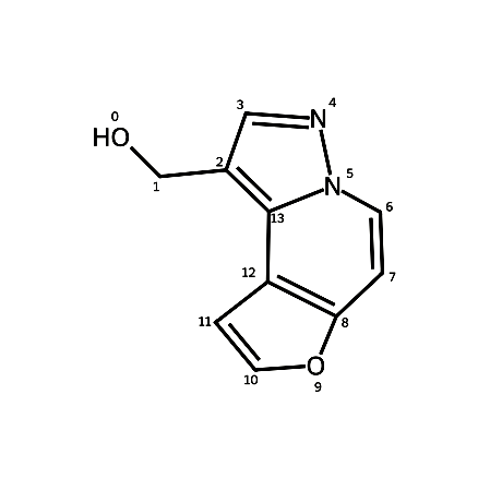 OCc1cnn2ccc3occc3c12